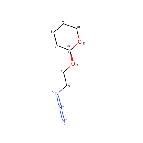 [N-]=[N+]=NCCO[C@H]1CCCCO1